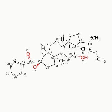 CCC[C@@H](C)C1CC[C@H]2[C@@H]3CC[C@@H]4C[C@H](OC(=O)c5ccccc5)CC[C@]4(C)C3C[C@@H](O)[C@]12C